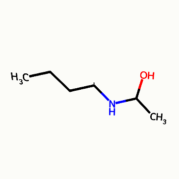 CCC[CH]NC(C)O